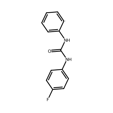 O=C(Nc1[c]cccc1)Nc1ccc(F)cc1